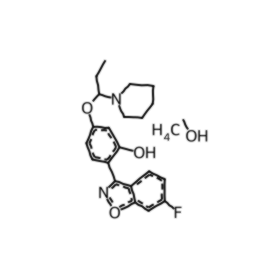 C.CCC(Oc1ccc(-c2noc3cc(F)ccc23)c(O)c1)N1CCCCC1.CO